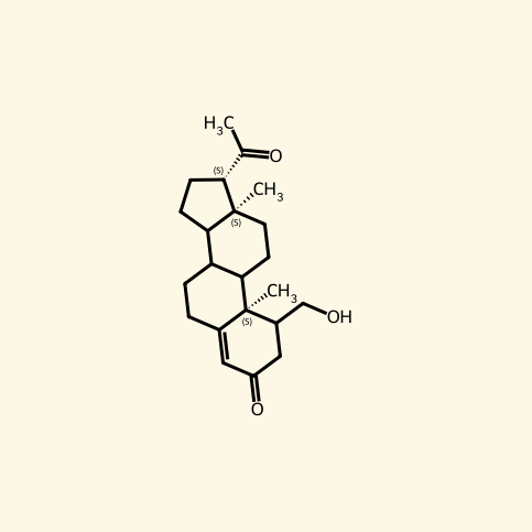 CC(=O)[C@H]1CCC2C3CCC4=CC(=O)CC(CO)[C@]4(C)C3CC[C@@]21C